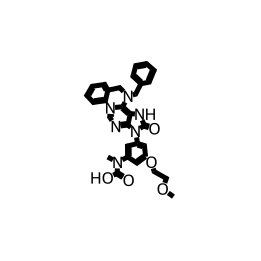 COCCOc1cc(N(C)C(=O)O)cc(-n2c(=O)[nH]c3c(N(Cc4ccccc4)Cc4ccccc4)ncnc32)c1